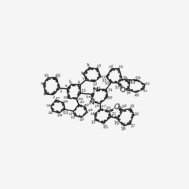 c1ccc(-c2cc(-c3ccccc3)c(-c3nc(-c4cccc5c4oc4ccccc45)cc(-c4cccc5c4oc4ccccc45)n3)c(-c3ccccc3-c3ccccc3)c2)cc1